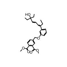 CCC(=CC=CC(O)(CC)CC)c1cccc(OCc2ccc(C(=O)OC)c(C(=O)OC)c2)c1